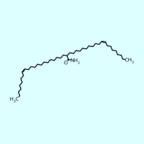 CCCCCCCC/C=C\CCCCCCCCCCCCC(CCCCCCCCCC/C=C\CCCCCCCC)C(N)=O